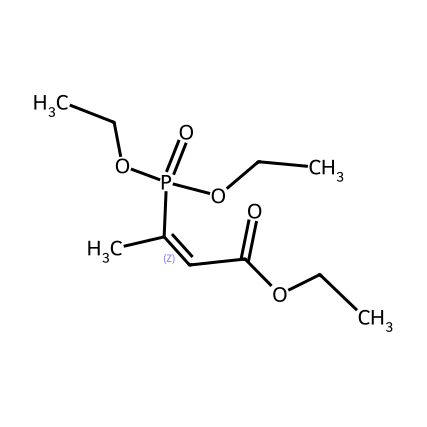 CCOC(=O)/C=C(/C)P(=O)(OCC)OCC